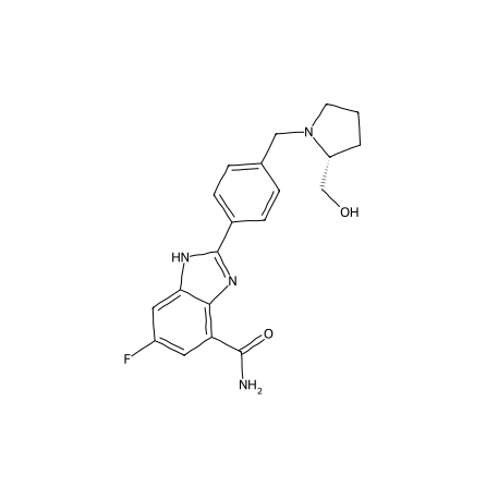 NC(=O)c1cc(F)cc2[nH]c(-c3ccc(CN4CCC[C@@H]4CO)cc3)nc12